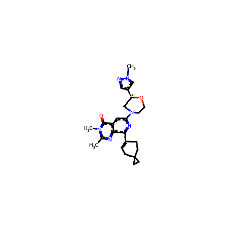 Cc1nc2c(C3=CCC4(CC3)CC4)nc(N3CCO[C@H](c4cnn(C)c4)C3)cc2c(=O)n1C